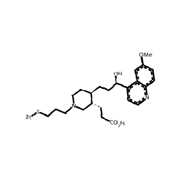 CCSCCCN1CC[C@@H](CC[C@@H](O)c2ccnc3ccc(OC)cc23)[C@H](CCC(=O)O)C1